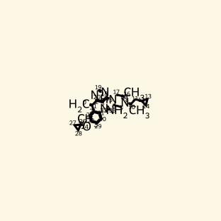 C=C(c1cc(N2CCN(C(C)CC3CC3)[C@@H](C)C2)ncn1)c1cc(OC2(C)CC2)ccc1NN